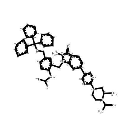 CC(=O)N1CCN(c2ncc(-c3ccc4c(=O)n(C)n(Cc5cc(COC(c6ccccc6)(c6ccccc6)c6ccccc6)ccc5OC(F)F)c4c3)cn2)CC1C